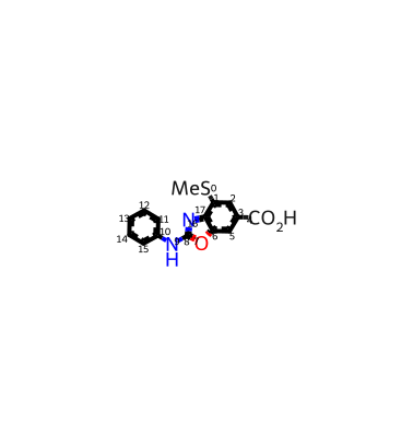 CSc1cc(C(=O)O)cc2oc(Nc3ccccc3)nc12